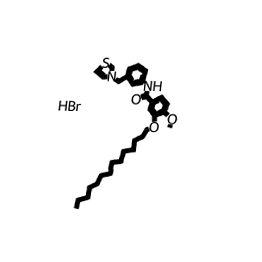 Br.CCCCCCCCCCCCCCOc1cc(C(=O)Nc2cccc(CN3C=CSC3)c2)ccc1OC